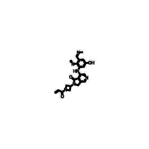 C=CC(=O)N1CC(N2Cc3cncc(Nc4cc(O)cc(/C=N\C)c4N=C)c3C2=O)C1